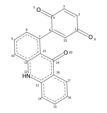 O=C1C=CC(=O)C(c2cccc3[nH]c4ccccc4c(=O)c23)=C1